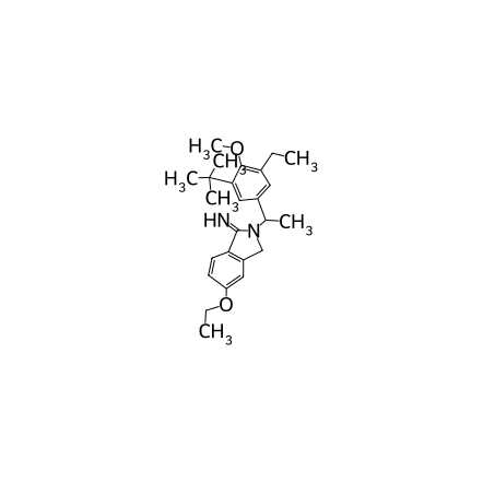 CCOc1ccc2c(c1)CN(C(C)c1cc(CC)c(OC)c(C(C)(C)C)c1)C2=N